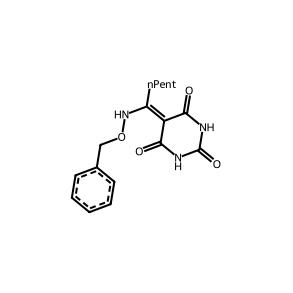 CCCCCC(NOCc1ccccc1)=C1C(=O)NC(=O)NC1=O